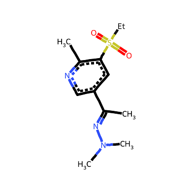 CCS(=O)(=O)c1cc(/C(C)=N/N(C)C)cnc1C